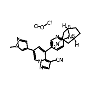 ClOCl.Cn1cc(-c2cc(-c3ccc(N4[C@@H]5CC[C@H]4C[C@@H](N)C5)nc3)c3c(C#N)cnn3c2)cn1